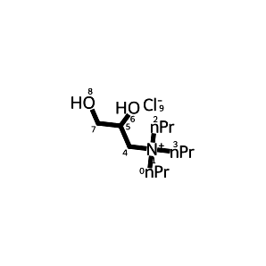 CCC[N+](CCC)(CCC)CC(O)CO.[Cl-]